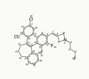 FCCCN1CC(=Cc2ccc(C3=C(c4ccc(Cl)cc4Cl)CCCc4ccccc43)c(F)c2F)C1